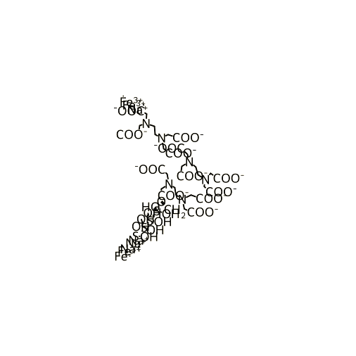 C=O.O=C([O-])CN(CCN(CC(=O)[O-])CC(=O)[O-])CC(=O)[O-].O=C([O-])CN(CCN(CC(=O)[O-])CC(=O)[O-])CC(=O)[O-].O=C([O-])CN(CCN(CC(=O)[O-])CC(=O)[O-])CC(=O)[O-].OSO.OSO.OSO.OSO.[Fe+3].[Fe+3].[Fe+3].[Fe-].[Na+].[Na+].[Na+].[Na+]